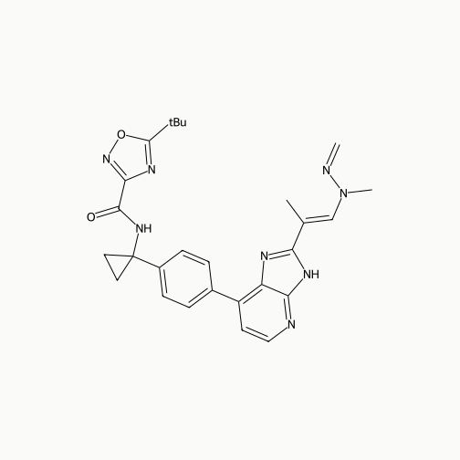 C=NN(C)/C=C(\C)c1nc2c(-c3ccc(C4(NC(=O)c5noc(C(C)(C)C)n5)CC4)cc3)ccnc2[nH]1